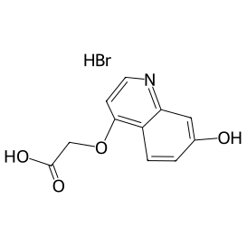 Br.O=C(O)COc1ccnc2cc(O)ccc12